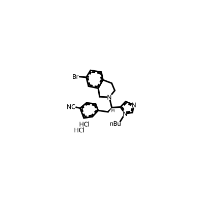 CCCCn1cncc1[C@@H](Cc1ccc(C#N)cc1)N1CCc2ccc(Br)cc2C1.Cl.Cl